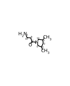 CC1CC(C)CN(C(=O)CCN)C1